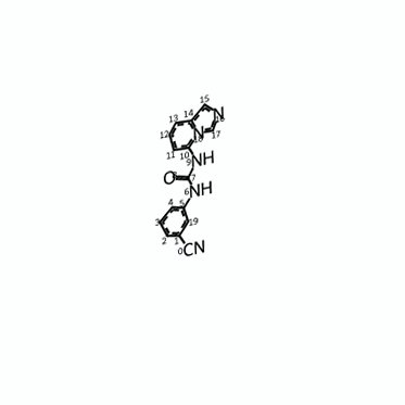 N#Cc1cccc(NC(=O)Nc2cccc3cncn23)c1